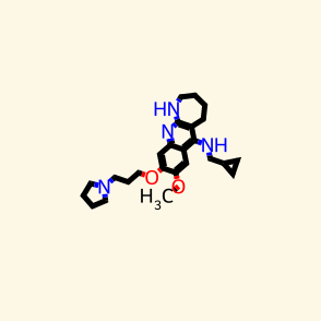 COc1cc2c(NCC3CC3)c3c(nc2cc1OCCCN1CCCC1)NCCCC3